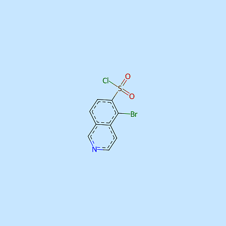 O=S(=O)(Cl)c1ccc2cnccc2c1Br